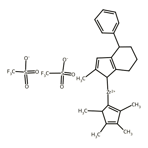 CC1=CC2=C(CCCC2c2ccccc2)[CH]1[Zr+2][C]1=C(C)C(C)=C(C)C1C.O=S(=O)([O-])C(F)(F)F.O=S(=O)([O-])C(F)(F)F